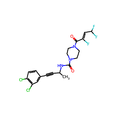 CC(C#Cc1ccc(Cl)c(Cl)c1)NC(=O)N1CCN(C(=O)C(F)=CC(F)F)CC1